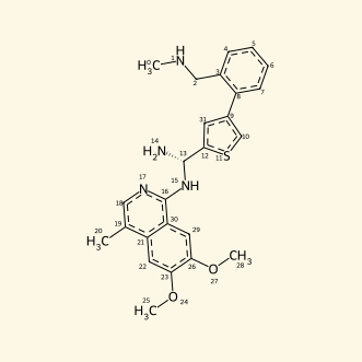 CNCc1ccccc1-c1csc([C@@H](N)Nc2ncc(C)c3cc(OC)c(OC)cc23)c1